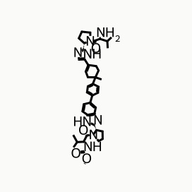 COC(=O)N[C@H](C(=O)N1CCC[C@H]1c1nc2cc(-c3ccc(C4(C)CC=C(c5cnc([C@@H]6CCCN6C(=O)[C@@H](N)C(C)C)[nH]5)CC4)cc3)ccc2[nH]1)C(C)C